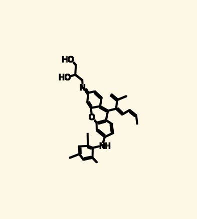 C=C(C)/C(=C\C=C/C)c1c2cc/c(=N\CC(O)CO)cc-2oc2cc(Nc3c(C)cc(C)cc3C)ccc12